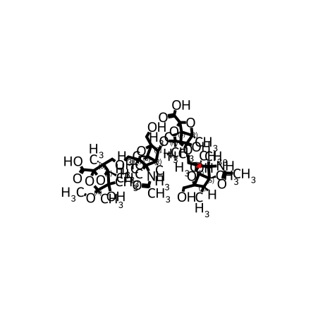 CO[C@]1(C)OC2(C(=O)O)O[C@@](C)(C1(C)O)[C@]2(C)COC[C@]1(C)OC2(CO)[C@@H](O[C@]3(C)OC4(C(=O)O)O[C@@](C)(C3(C)O)[C@]4(C)COC[C@]3(C)OC4(CO)[C@@H](C)[C@@](C)(C3(C)NC(C)=O)[C@]4(C)O)[C@@](C)(C1(C)NC(C)=O)[C@]2(C)O